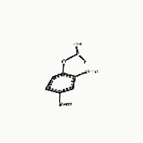 CCCC(C)c1ccc(OP(O)F)c(C(C)CCC)c1